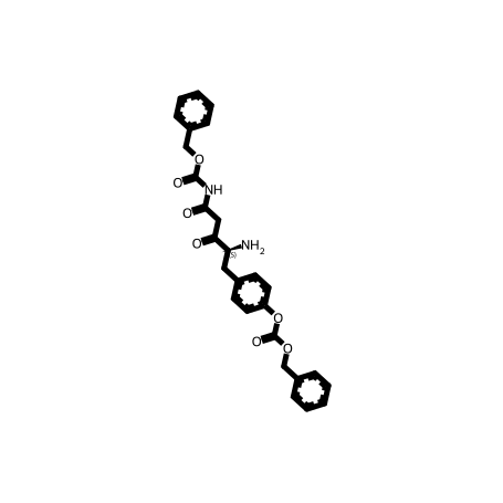 N[C@@H](Cc1ccc(OC(=O)OCc2ccccc2)cc1)C(=O)CC(=O)NC(=O)OCc1ccccc1